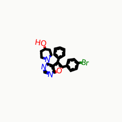 OC1CCN(c2ncnc3oc(-c4ccc(Br)cc4)c(-c4ccccc4)c23)CC1